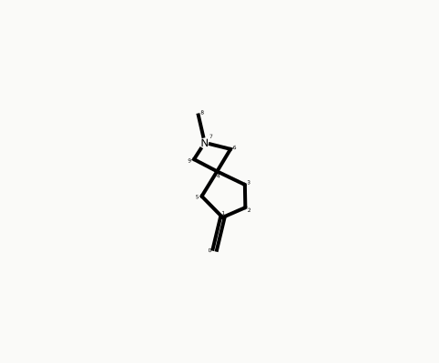 C=C1CCC2(C1)CN(C)C2